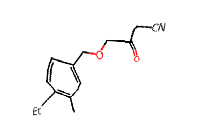 CCc1ccc(COCC(=O)CC#N)cc1C